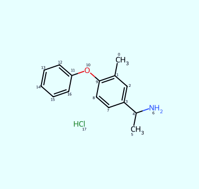 Cc1cc(C(C)N)ccc1Oc1ccccc1.Cl